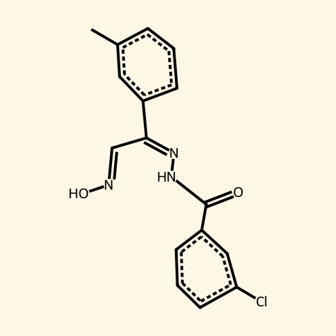 Cc1cccc(C(C=NO)=NNC(=O)c2cccc(Cl)c2)c1